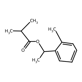 Cc1ccccc1C(C)OC(=O)C(C)C